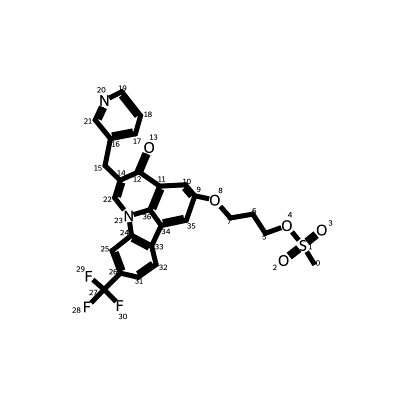 CS(=O)(=O)OCCCOc1cc2c(=O)c(Cc3cccnc3)cn3c4cc(C(F)(F)F)ccc4c(c1)c23